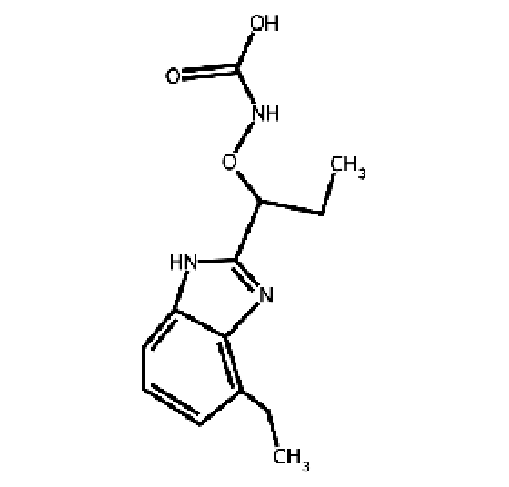 CCc1cccc2[nH]c(C(CC)ONC(=O)O)nc12